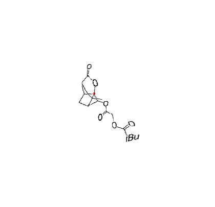 CCC(C)C(=O)OCC(=O)OC1C2OC(=O)C3C2CC1C3(C)C